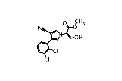 COC(=O)C(=CO)n1cc(C#N)c(-c2cccc(Cl)c2Cl)c1